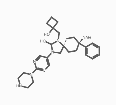 CN[C@]1(c2ccccc2)CC[C@]2(CC1)CN(c1cnc(N3CCNCC3)nc1)C(O)N2CC1(O)CCC1